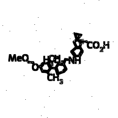 COCCOc1cc(C)c(-c2cccc(CNc3ccc4c(c3)CC3(CC3)[C@H]4CC(=O)O)c2C)c(C)c1